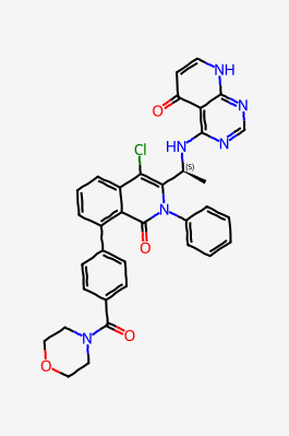 C[C@H](Nc1ncnc2[nH]ccc(=O)c12)c1c(Cl)c2cccc(-c3ccc(C(=O)N4CCOCC4)cc3)c2c(=O)n1-c1ccccc1